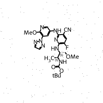 COC[C@@H](Nc1nc(Nc2cnc(OC)c(-n3nccn3)c2)c(C#N)cc1F)[C@H](C)NC(=O)OC(C)(C)C